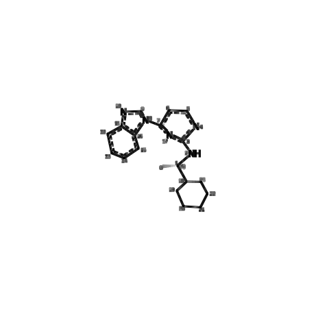 C[C@H](Nc1nccc(-n2cnc3ccccc32)n1)C1CCCCC1